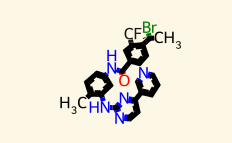 Cc1ccc(NC(=O)c2ccc(C(C)Br)c(C(F)(F)F)c2)cc1Nc1nccc(-c2cccnc2)n1